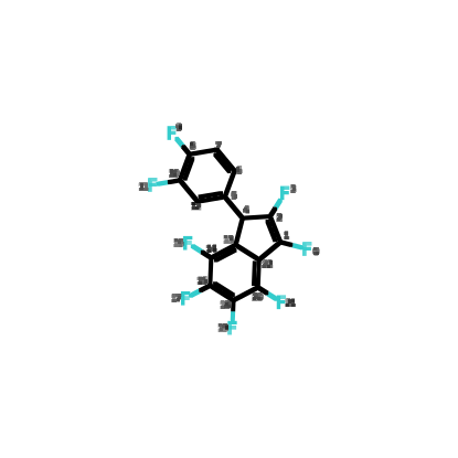 FC1=C(F)C(c2ccc(F)c(F)c2)c2c(F)c(F)c(F)c(F)c21